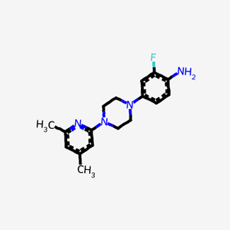 Cc1cc(C)nc(N2CCN(c3ccc(N)c(F)c3)CC2)c1